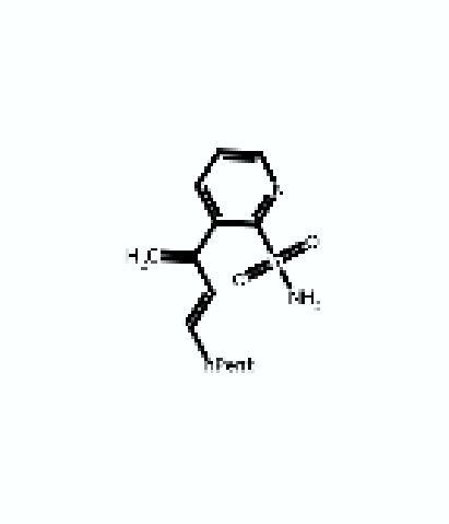 C=C(C=CCCCCC)c1cccnc1S(N)(=O)=O